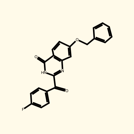 O=C(c1ccc(F)cc1)c1nc2cc(OCc3ccccc3)ccc2c(=O)[nH]1